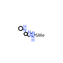 CSC1=NC2=NC3=C(CCC3NC3CCCCC3)CN2N1